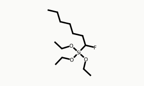 CCCCCCC(F)[Si](OCC)(OCC)OCC